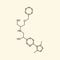 Cc1ccc(C)n1-c1ccc(C(O)CNC(CO)COCc2ccccc2)cn1